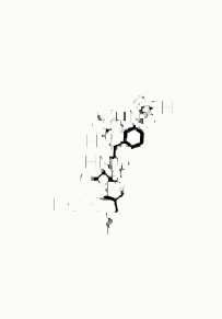 CCSCC1=C(C(=O)O)N2C(=O)C(NC(=O)[C@H](NC(=O)OC(C)(C)C)c3cccc(NS(C)(=O)=O)c3)[C@@H]2SC1